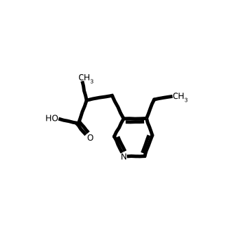 CCc1ccncc1CC(C)C(=O)O